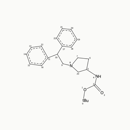 CC(C)(C)OC(=O)NC1CCN(CC(c2ccccc2)c2ccccc2)C1